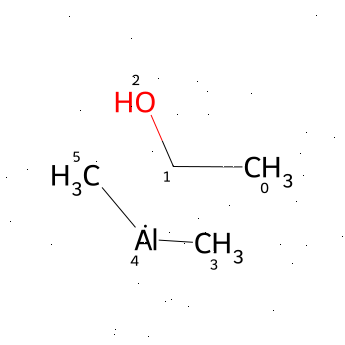 CCO.[CH3][Al][CH3]